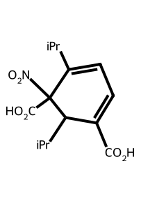 CC(C)C1=CC=C(C(=O)O)C(C(C)C)C1(C(=O)O)[N+](=O)[O-]